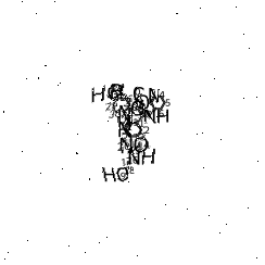 COc1ncccc1NC(=O)c1cc2oc(NCCO)nc2nc1N1CCC(O)CC1